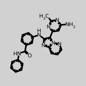 Cc1nc(N)cc(-c2c(Nc3cccc(C(=O)Nc4ccccc4)c3)nc3cccnn23)n1